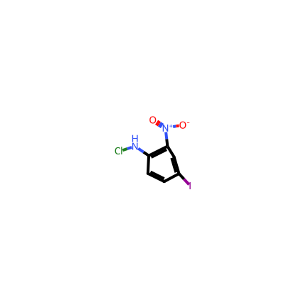 O=[N+]([O-])c1cc(I)ccc1NCl